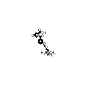 C[Si](C)(C)CCOCOc1cccc(C(=O)N2CC(=O)CC2C(=O)O)c1